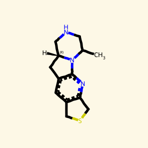 CC1CNC[C@H]2Cc3cc4c(nc3N12)CSC4